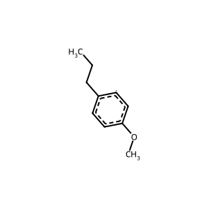 CCCc1[c]cc(OC)cc1